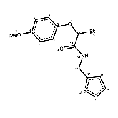 CCC(Oc1ccc(OC)cc1)C(=O)NCc1cccs1